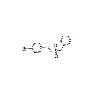 O=S(=O)(C=Cc1ccc(Br)cc1)Cc1ccccc1